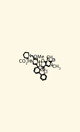 COc1nc(C2(NC(=O)c3cn(C)c(=O)n(C)c3=O)C=CC=C(c3ccccc3Cl)C2Cl)cnc1CN1CCCC[C@@H]1C(=O)O